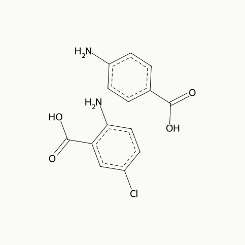 Nc1ccc(C(=O)O)cc1.Nc1ccc(Cl)cc1C(=O)O